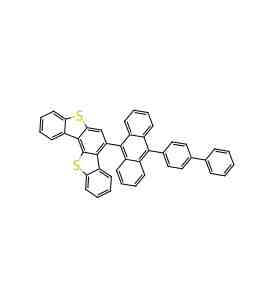 c1ccc(-c2ccc(-c3c4ccccc4c(-c4cc5sc6ccccc6c5c5sc6ccccc6c45)c4ccccc34)cc2)cc1